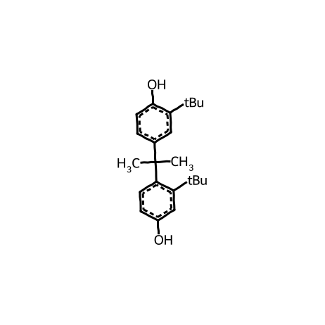 CC(C)(C)c1cc(C(C)(C)c2ccc(O)cc2C(C)(C)C)ccc1O